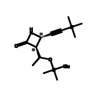 CC(O[Si](C)(C)C(C)(C)C)[C@H]1C(=O)N[C@@H]1C#C[Si](C)(C)C